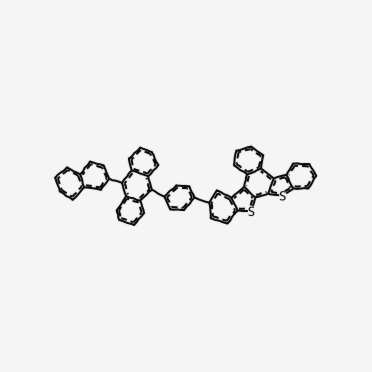 c1ccc2cc(-c3c4ccccc4c(-c4ccc(-c5ccc6sc7c8sc9ccccc9c8c8ccccc8c7c6c5)cc4)c4ccccc34)ccc2c1